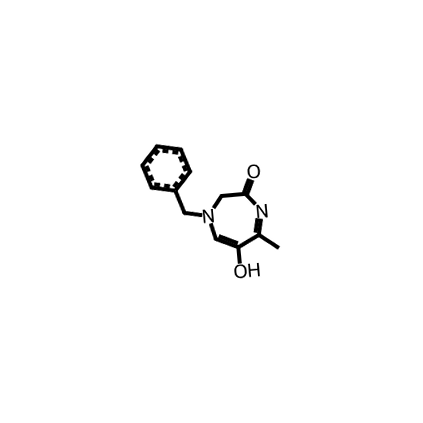 CC1=NC(=O)CN(Cc2ccccc2)C=C1O